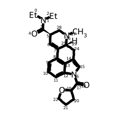 CCN(CC)C(=O)[C@@H]1C=C2c3cccc4c3c(cn4C(=O)C3CCCO3)C[C@H]2N(C)C1